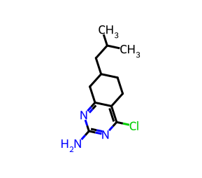 CC(C)CC1CCc2c(Cl)nc(N)nc2C1